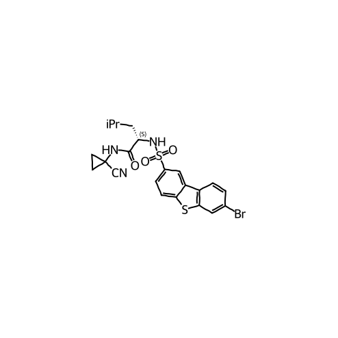 CC(C)C[C@H](NS(=O)(=O)c1ccc2sc3cc(Br)ccc3c2c1)C(=O)NC1(C#N)CC1